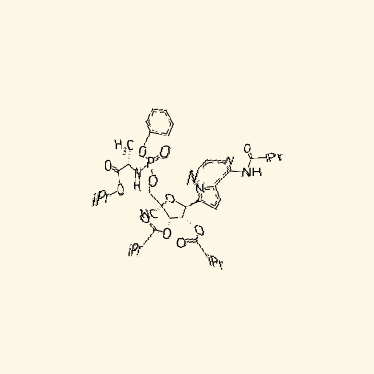 CC(C)OC(=O)[C@H](C)NP(=O)(OC[C@@]1(C#N)O[C@@H](c2ccc3c(NC(=O)C(C)C)ncnn23)[C@H](OC(=O)C(C)C)[C@@H]1OC(=O)C(C)C)Oc1ccccc1